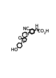 N#Cc1cc(NC(=O)O)ccc1N1CCC[C@]2(CCN(C3CCC(O)CC3)C2=O)C1